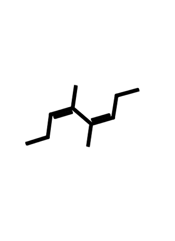 CC/C=C(C)\C(C)=C/CC